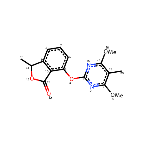 COc1nc(Oc2cccc3c2C(=O)OC3C)nc(OC)c1C